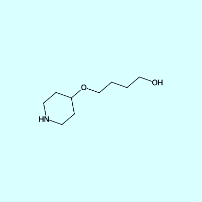 OCCCCOC1CCNCC1